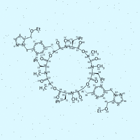 CCOCc1ccnn1Cc1ccc(C[C@H]2OC(=O)[C@H](CC(C)C)N(C)C(=O)[C@@H](C)OC(=O)[C@H](CC(C)C)N(C)C(=O)[C@@H](Cc3ccc(Cn4nccc4COCC)cc3)OC(=O)[C@H](CC(C)C)N(C)C(=O)[C@@H](C)OC(=O)[C@H](CC(C)C)N(C)C2=O)cc1